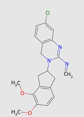 C=NC1=Nc2cc(Cl)ccc2CN1C1Cc2ccc(OC)c(OC)c2C1